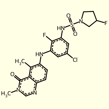 Cc1c(Nc2cc(Cl)cc(NS(=O)(=O)N3CCC(F)C3)c2F)ccc2ncn(C)c(=O)c12